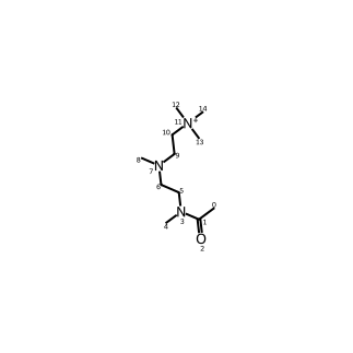 CC(=O)N(C)CCN(C)CC[N+](C)(C)C